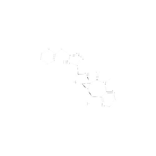 CN1C(=O)[C@]2(NC(=O)c3nnc(Cc4ccccc4)[nH]3)C3[C@@H](c4nccnc41)[C@H]32